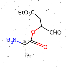 CCOC(=O)CC(C=O)OC(=O)[C@@H](N)C(C)C